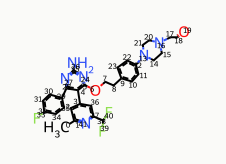 Cc1cc(-c2c(OCCc3ccc(N4CCN(CC=O)CC4)cc3)nc(N)nc2-c2ccc(F)cc2)cc(C(F)F)n1